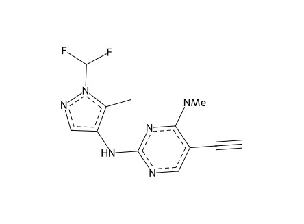 C#Cc1cnc(Nc2cnn(C(F)F)c2C)nc1NC